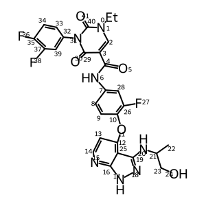 CCn1cc(C(=O)Nc2ccc(Oc3ccnc4[nH]nc(NC(C)CO)c34)c(F)c2)c(=O)n(-c2ccc(F)c(F)c2)c1=O